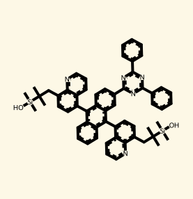 CC(C)(Cc1ccc(-c2c3ccccc3c(-c3ccc(CC(C)(C)[Si](C)(C)O)c4ncccc34)c3cc(-c4nc(-c5ccccc5)nc(-c5ccccc5)n4)ccc23)c2cccnc12)[Si](C)(C)O